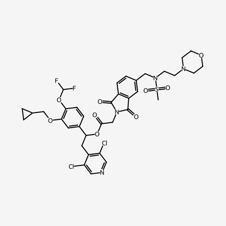 CS(=O)(=O)N(CCN1CCOCC1)Cc1ccc2c(c1)C(=O)N(CC(=O)OC(Cc1c(Cl)cncc1Cl)c1ccc(OC(F)F)c(OCC3CC3)c1)C2=O